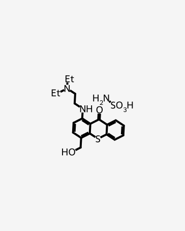 CCN(CC)CCNc1ccc(CO)c2sc3ccccc3c(=O)c12.NS(=O)(=O)O